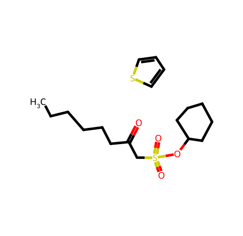 CCCCCCC(=O)CS(=O)(=O)OC1CCCCC1.c1ccsc1